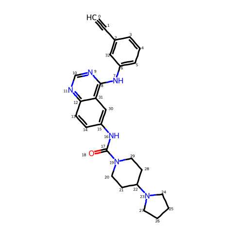 C#Cc1cccc(Nc2ncnc3ccc(NC(=O)N4CCC(N5CCCC5)CC4)cc23)c1